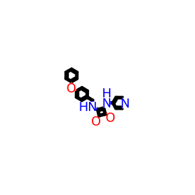 O=c1c(NCc2ccc(Oc3ccccc3)cc2)c(Nc2ccncc2)c1=O